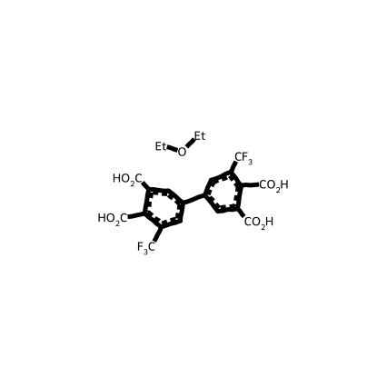 CCOCC.O=C(O)c1cc(-c2cc(C(=O)O)c(C(=O)O)c(C(F)(F)F)c2)cc(C(F)(F)F)c1C(=O)O